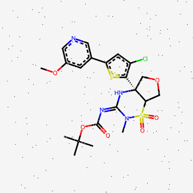 COc1cncc(-c2cc(Cl)c([C@]34COCC3S(=O)(=O)N(C)/C(=N\C(=O)OC(C)(C)C)N4)s2)c1